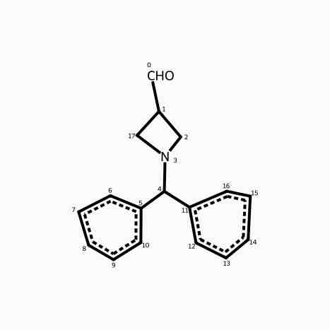 O=CC1CN(C(c2ccccc2)c2ccccc2)C1